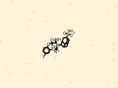 Cc1cc(F)ccc1OC(C)(C)C(=N)N(C#N)C1C2CC3CC1CC(S(N)(=O)=O)(C3)C2